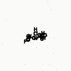 Cl.O=C1[C@H]2CCCC[C@H]2C[N+]1([O-])CCCN1CCC(c2noc3cc(F)ccc23)CC1